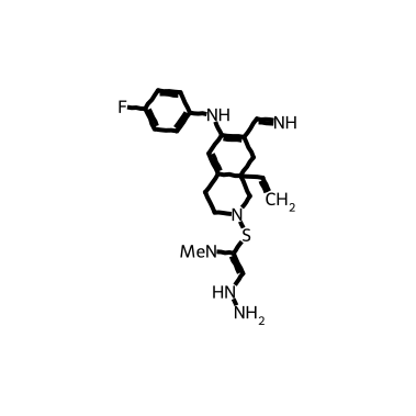 C=CC12CC(C=N)=C(Nc3ccc(F)cc3)C=C1CCN(S/C(=C/NN)NC)C2